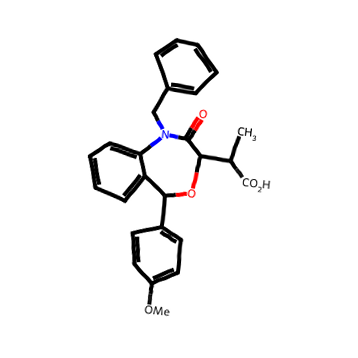 COc1ccc(C2OC(C(C)C(=O)O)C(=O)N(Cc3ccccc3)c3ccccc32)cc1